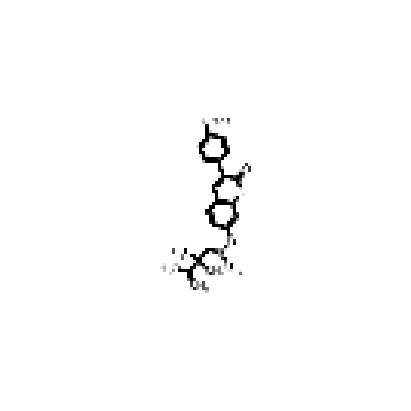 C=C(C)C(C)(C)CB(C)Oc1ccc2cc(-c3ccc(CCCCC)cc3)c(=O)oc2c1